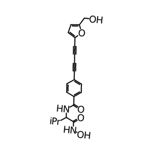 CC(C)C(NC(=O)c1ccc(C#CC#Cc2ccc(CO)o2)cc1)C(=O)NO